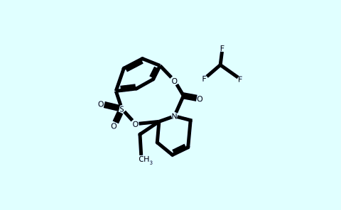 CCC12CC=CCN1C(=O)Oc1ccc(cc1)S(=O)(=O)O2.FC(F)F